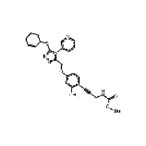 Cc1cc(OCc2nnc(SC3C=CCCC3)n2-c2cccnc2)ccc1C#CCNC(=O)OC(C)(C)C